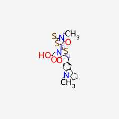 CCN1C(=O)/C(=c2\s/c(=C/c3ccc4c(c3)C3CCCC3N4CC)c(=O)n2CC(=O)O)SC1=S